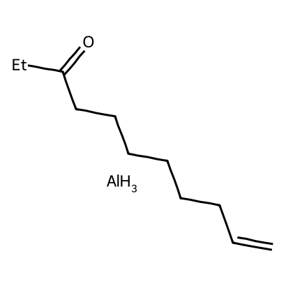 C=CCCCCCCC(=O)CC.[AlH3]